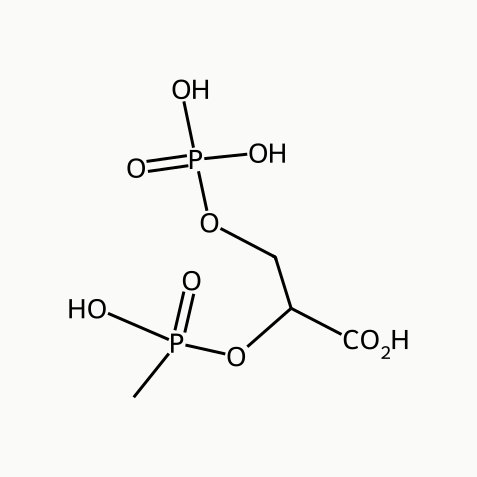 CP(=O)(O)OC(COP(=O)(O)O)C(=O)O